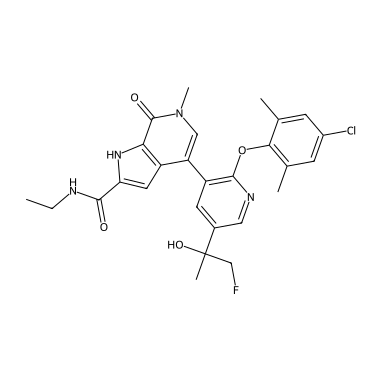 CCNC(=O)c1cc2c(-c3cc(C(C)(O)CF)cnc3Oc3c(C)cc(Cl)cc3C)cn(C)c(=O)c2[nH]1